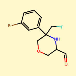 O=CC1COCC(CF)(c2cccc(Br)c2)N1